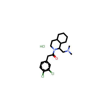 CN(C)CC1C2CCCCC2CCN1C(=O)Cc1ccc(Cl)c(Cl)c1.Cl